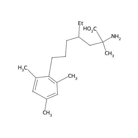 CCC(CCCc1c(C)cc(C)cc1C)CC(C)(N)C(=O)O